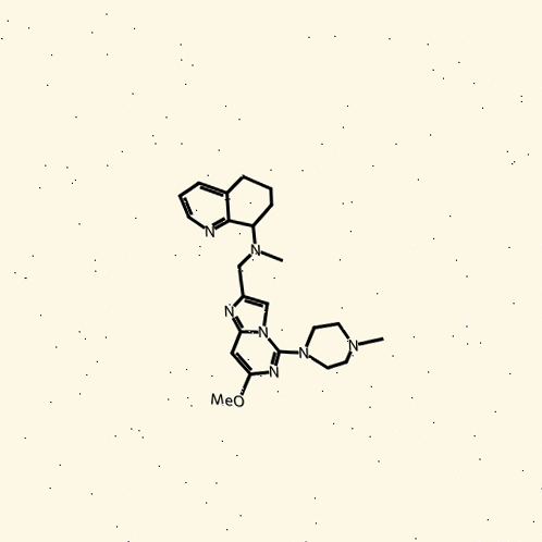 COc1cc2nc(CN(C)C3CCCc4cccnc43)cn2c(N2CCN(C)CC2)n1